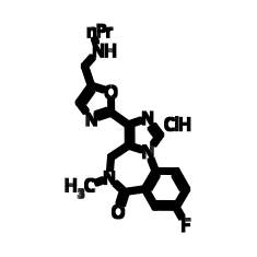 CCCNCc1cnc(-c2ncn3c2CN(C)C(=O)c2cc(F)ccc2-3)o1.Cl